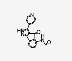 O=CNc1cccc2c1C(=O)c1c-2n[nH]c1-c1ccncc1